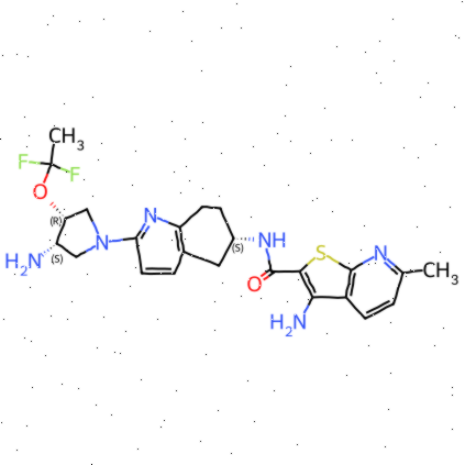 Cc1ccc2c(N)c(C(=O)N[C@H]3CCc4nc(N5C[C@H](N)[C@H](OC(C)(F)F)C5)ccc4C3)sc2n1